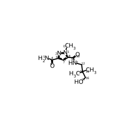 Cn1nc(C(N)=O)[c]c1C(=O)NCC(C)(C)CO